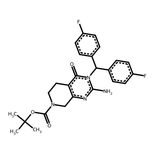 CC(C)(C)OC(=O)N1CCc2c(nc(N)n(C(c3ccc(F)cc3)c3ccc(F)cc3)c2=O)C1